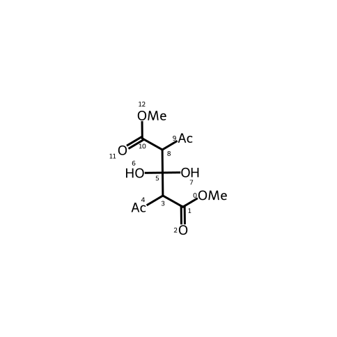 COC(=O)C(C(C)=O)C(O)(O)C(C(C)=O)C(=O)OC